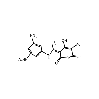 CC(=O)Nc1cc(NC(C)=C2C(=O)OC(=O)C(C(C)=O)=C2O)cc([N+](=O)[O-])c1